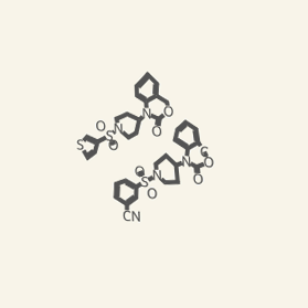 N#Cc1cccc(S(=O)(=O)N2CCC(N3C(=O)OCc4ccccc43)CC2)c1.O=C1OCc2ccccc2N1C1CCN(S(=O)(=O)c2ccsc2)CC1